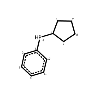 c1ccc(PC2CCCC2)cc1